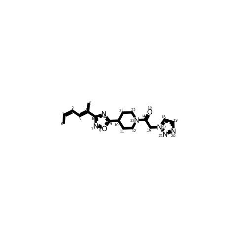 C/C=C\C=C(/C)c1noc(C2CCN(C(=O)Cn3ccnn3)CC2)n1